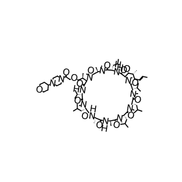 C/C=C/C[C@@H](C)[C@@H](O)[C@H]1C(=O)N[C@@H](CCC)C(=O)N(C)[C@H](C)C(=O)N(C)[C@@H]([C@H](C)COCC(=O)N2CCN(C3CCOCC3)CC2)C(=O)N[C@@H](C(C)C)C(=O)N(C)[C@@H](CC(C)C)C(=O)N[C@@H](C)C(=O)N[C@H](C)C(=O)N(C)[C@@H](CC(C)C)C(=O)N(C)[C@@H](CC(C)C)C(=O)N(C)[C@@H](C(C)C)C(=O)N1C